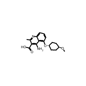 CO[C@H]1CC[C@H](Oc2cccc3nc(C)c(C(=O)O)c(N)c23)CC1